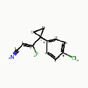 N#CC=C(F)C1(c2ccc(Cl)cc2)CC1